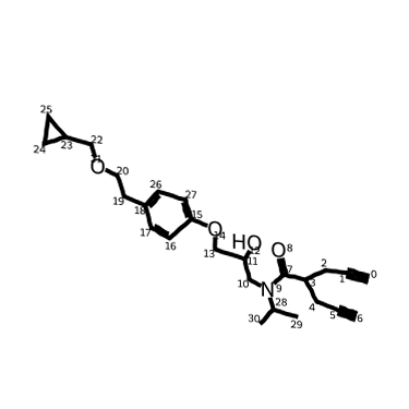 C#CCC(CC#C)C(=O)N(CC(O)COc1ccc(CCOCC2CC2)cc1)C(C)C